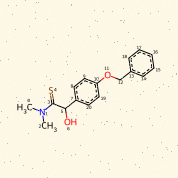 CN(C)C(=S)C(O)c1ccc(OCc2ccccc2)cc1